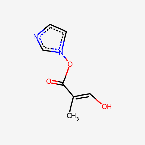 CC(=CO)C(=O)On1ccnc1